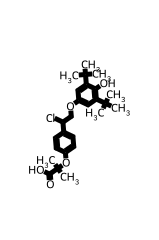 CC(C)(Oc1ccc(C(Cl)COc2cc(C(C)(C)C)c(O)c(C(C)(C)C)c2)cc1)C(=O)O